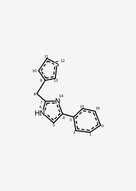 c1ccc(-c2c[nH]c(Cc3ccsc3)n2)cc1